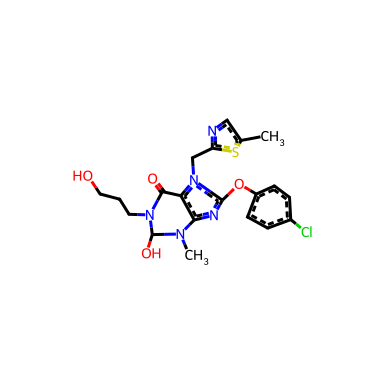 Cc1cnc(Cn2c(Oc3ccc(Cl)cc3)nc3c2C(=O)N(CCCO)C(O)N3C)s1